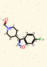 O=CN1CCC(c2noc3cc(F)ccc23)CC1